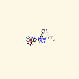 CC=Cc1cc(NCCC(F)(F)F)c2ncc(-c3ccc(C(=O)NC4(C#N)CC4)c(C)c3)n2c1